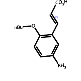 Bc1ccc(OCCCC)c(/C=C/C(=O)O)c1